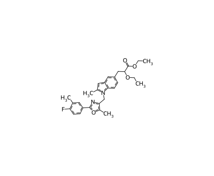 CCOC(=O)C(Cc1ccc2c(c1)cc(C)n2Cc1nc(-c2ccc(F)c(C)c2)oc1C)OCC